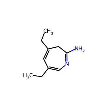 CCC1=CN=C(N)CC(CC)=C1